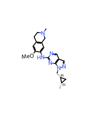 COc1cc2c(cc1Nc1ncc3cnn(C[C@@H]4C[C@@H]4C)c3n1)CN(C)CC2